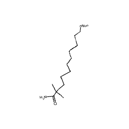 CCCCCCCCCCCCCCCCCCC(C)(C)C(N)=O